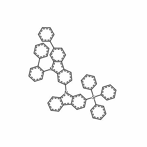 c1ccc(-c2ccc3c4ccc(-n5c6ccccc6c6ccc([Si](c7ccccc7)(c7ccccc7)c7ccccc7)cc65)cc4n(-c4ccccc4-c4ccccc4)c3c2)cc1